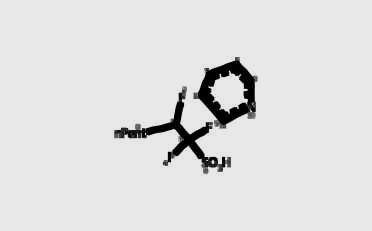 CCCCCC(F)C(F)(F)S(=O)(=O)O.c1ccncc1